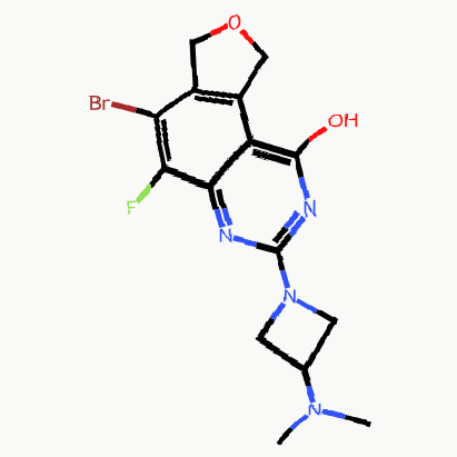 CN(C)C1CN(c2nc(O)c3c4c(c(Br)c(F)c3n2)COC4)C1